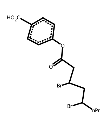 CCCC(Br)CC(Br)CC(=O)Oc1ccc(C(=O)O)cc1